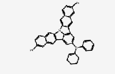 CC(C)c1ccc2cc3c(cc2c1)c1cc(N(C2=CCCCC2)c2ccccc2)cc2c4cc5cc(C(C)C)ccc5cc4n3c12